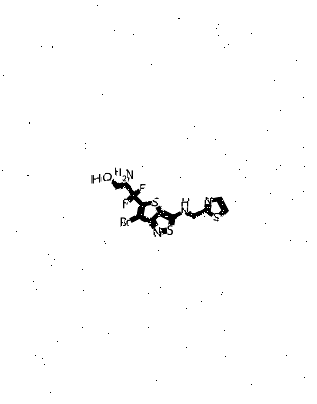 N[C@@H](CO)C(F)(F)c1sc2c(NCc3nccs3)snc2c1Br